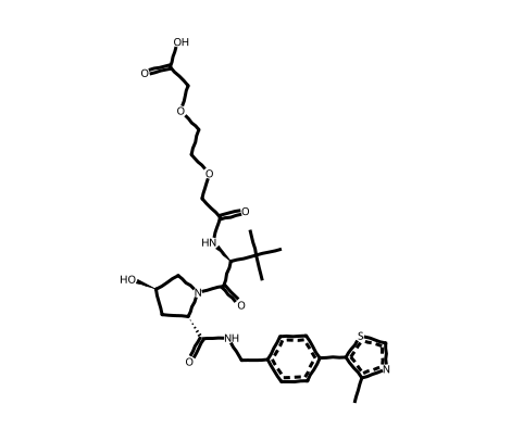 Cc1ncsc1-c1ccc(CNC(=O)[C@@H]2C[C@@H](O)CN2C(=O)[C@@H](NC(=O)COCCOCC(=O)O)C(C)(C)C)cc1